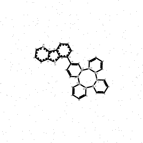 C1=CB2N(C=C1)B1C=CC=CN1B1C=C(c3cccc4c3sc3cccnc34)C=CN1B1C=CC=CN21